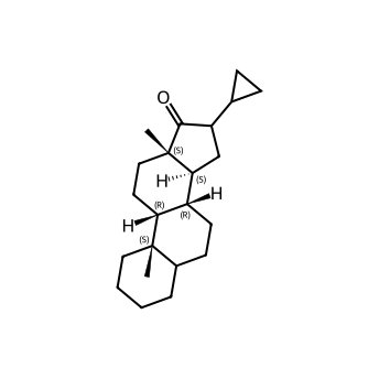 C[C@]12CCCCC1CC[C@@H]1[C@H]2CC[C@]2(C)C(=O)C(C3CC3)C[C@@H]12